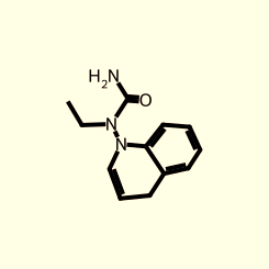 CCN(C(N)=O)N1C=CCc2ccccc21